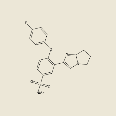 CNS(=O)(=O)c1ccc(Oc2ccc(F)cc2)c(-c2cn3c(n2)CCC3)c1